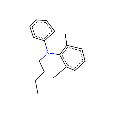 CCCCN(c1ccccc1)c1c(C)cccc1C